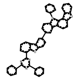 c1ccc(-c2nc(-c3ccccc3)nc(-c3cccc4c3oc3ccc(-c5ccc6c(c5)c5ccc7sc8ccccc8c7c5n6-c5ccccc5)cc34)n2)cc1